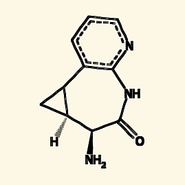 N[C@@H]1C(=O)Nc2ncccc2C2C[C@@H]21